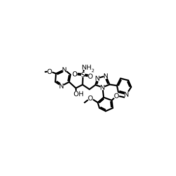 COc1cnc(C(O)C(Cc2nnc(-c3cccnc3)n2-c2c(OC)cccc2OC)S(N)(=O)=O)cn1